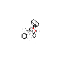 CNC(=O)C12CC3CC(C1)C(NC(=O)C1(NS(=O)(=O)c4ccccc4[N+](=O)[O-])CCC1)C(C3)C2